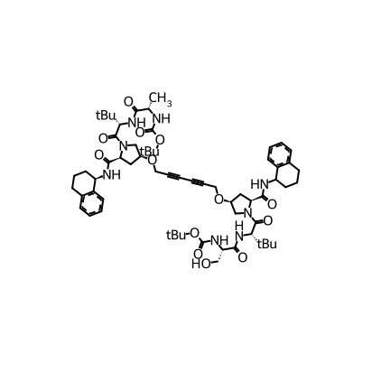 C[C@H](NC(=O)OC(C)(C)C)C(=O)N[C@H](C(=O)N1C[C@@H](OCC#CC#CCO[C@H]2C[C@@H](C(=O)NC3CCCc4ccccc43)N(C(=O)[C@@H](NC(=O)[C@H](CO)NC(=O)OC(C)(C)C)C(C)(C)C)C2)C[C@H]1C(=O)N[C@@H]1CCCc2ccccc21)C(C)(C)C